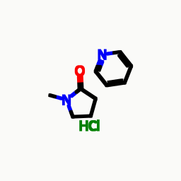 CN1CCCC1=O.Cl.c1ccncc1